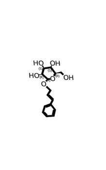 OC[C@H]1O[C@@H](OCC=Cc2ccccc2)[C@H](O)[C@@H](O)[C@@H]1O